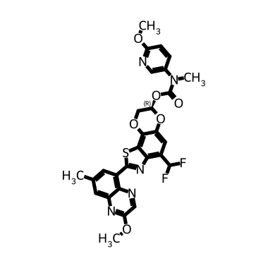 COc1ccc(N(C)C(=O)O[C@@H]2COc3c(cc(C(F)F)c4nc(-c5cc(C)cc6nc(OC)cnc56)sc34)O2)cn1